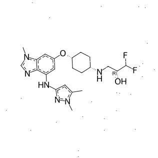 Cc1cc(Nc2cc(O[C@H]3CC[C@@H](NC[C@@H](O)C(F)F)CC3)cc3c2ncn3C)nn1C